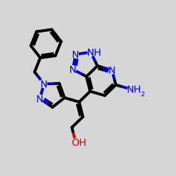 Nc1cc(/C(=C/CO)c2cnn(Cc3ccccc3)c2)c2nn[nH]c2n1